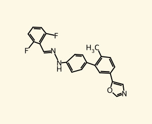 Cc1ccc(-c2cnco2)cc1-c1ccc(NN=Cc2c(F)cccc2F)cc1